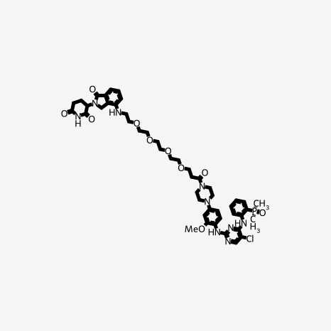 COc1cc(N2CCN(C(=O)CCOCCOCCOCCOCCNc3cccc4c3CN(C3CCC(=O)NC3=O)C4=O)CC2)ccc1Nc1ncc(Cl)c(Nc2ccccc2P(C)(C)=O)n1